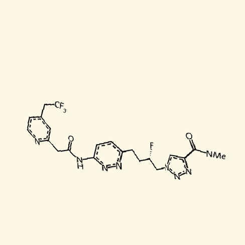 CNC(=O)c1cn(C[C@@H](F)CCc2ccc(NC(=O)Cc3cc(CC(F)(F)F)ccn3)nn2)nn1